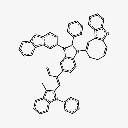 C=C/C(=C\c1c(C)c2ccccc2n1-c1ccccc1)c1ccc2c(c1)N(c1ccc3oc4ccccc4c3c1)P(c1ccccc1)N2/C1=C/c2c(oc3ccccc23)C=CCC1